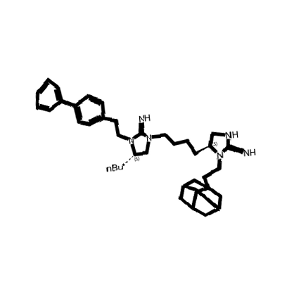 CCCC[C@H]1CN(CCCC[C@H]2CNC(=N)N2CCC23CC4CC(CC(C4)C2)C3)C(=N)N1CCc1ccc(-c2ccccc2)cc1